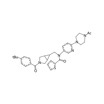 CC(=O)N1CCN(c2ccc(N(CC3C4CN(C(=O)c5ccc(C(C)(C)C)cc5)CC43)C(=O)c3cccs3)cn2)CC1